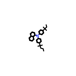 CCCC(C)(C)c1ccc(N(c2ccc(C(C)(C)CC)cc2)c2cccc3ccccc23)cc1